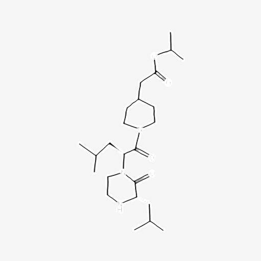 CC(C)C[C@@H]1NCCN([C@@H](CC(C)C)C(=O)N2CCC(CC(=O)OC(C)C)CC2)C1=O